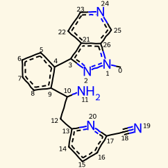 Cn1nc(-c2ccccc2C(N)Cc2cccc(C#N)n2)c2ccncc21